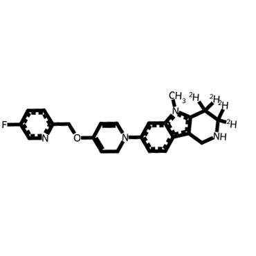 [2H]C1([2H])NCc2c(n(C)c3cc(N4C=CC(OCc5ccc(F)cn5)=CC4)ccc23)C1([2H])[2H]